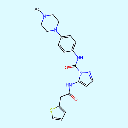 CC(=O)N1CCN(c2ccc(NC(=O)n3nccc3NC(=O)Cc3cccs3)cc2)CC1